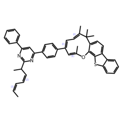 C/C=C\C=C/C(C)c1nc(-c2ccccc2)cc(-c2ccc(C3=C/C=C(\C)C(C)(C)c4ccc5c(sc6ccccc65)c4O\C(C)=C\3)cc2)n1